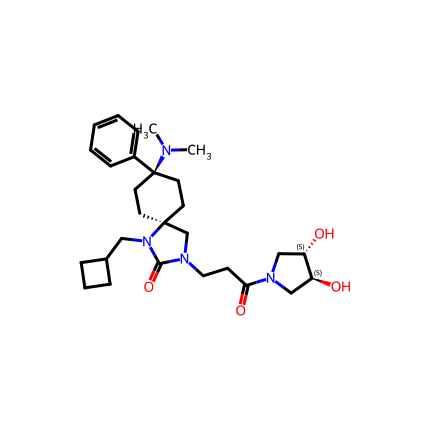 CN(C)[C@]1(c2ccccc2)CC[C@]2(CC1)CN(CCC(=O)N1C[C@H](O)[C@@H](O)C1)C(=O)N2CC1CCC1